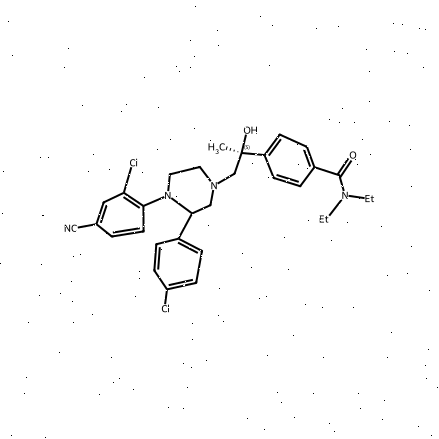 CCN(CC)C(=O)c1ccc([C@](C)(O)CN2CCN(c3ccc(C#N)cc3Cl)C(c3ccc(Cl)cc3)C2)cc1